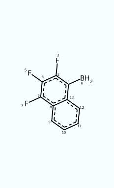 Bc1c(F)c(F)c(F)c2ccccc12